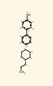 CCC[C@H]1CC[C@H](c2ccc(-c3ncc(O)cn3)cc2)CC1